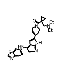 CCN(CC)CC1(C(=O)N2CC=C(c3cc4c(Nc5ccc6ncsc6c5)ccnc4[nH]3)CC2)CC1